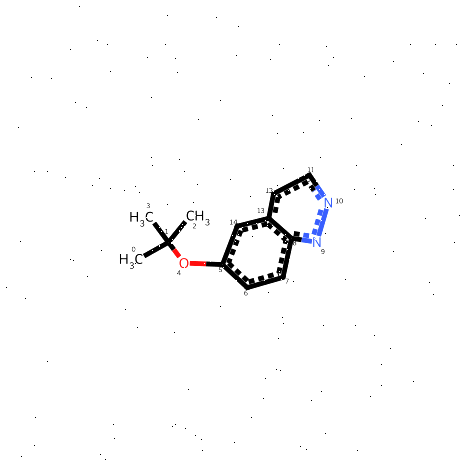 CC(C)(C)Oc1ccc2nnccc2c1